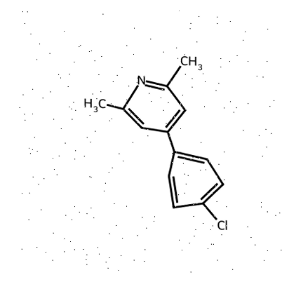 Cc1cc(-c2ccc(Cl)cc2)cc(C)n1